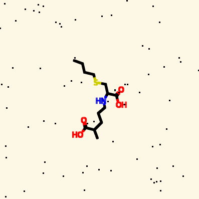 CCCCSCC(NCCCC(C)C(=O)O)C(=O)O